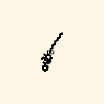 CCCCCCCCCCC(=O)OC1CC(C)(CC)N(OC(C)c2ccccc2)C(C)(CC)C1C